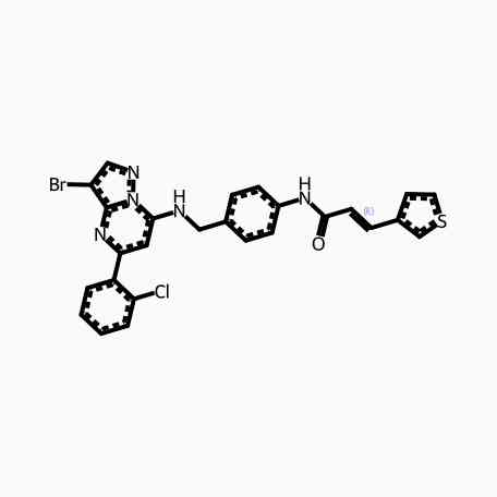 O=C(/C=C/c1ccsc1)Nc1ccc(CNc2cc(-c3ccccc3Cl)nc3c(Br)cnn23)cc1